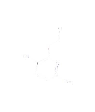 Nc1cnc(N)c(OCC(F)(F)F)n1